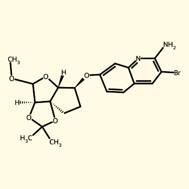 COC1O[C@@H]2[C@@H](Oc3ccc4cc(Br)c(N)nc4c3)CC[C@@]23OC(C)(C)O[C@@H]13